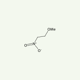 COCC[N+](=O)[O-]